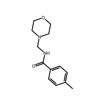 Cc1ccc(C(=O)NCN2CCOCC2)cc1